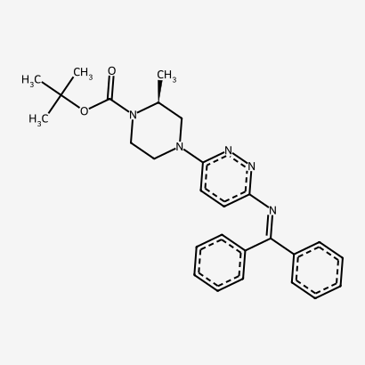 C[C@H]1CN(c2ccc(N=C(c3ccccc3)c3ccccc3)nn2)CCN1C(=O)OC(C)(C)C